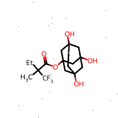 CCC(C)(C(=O)OC12CC3(O)CC(O)(CC(O)(C3)C1)C2)C(F)(F)F